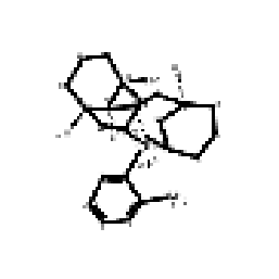 Nc1ccccc1NC1C[C@H]2CCC[C@@H](C1)[C@@H]2[C@H]1C[C@@H]2CCC[C@@H](C2)C1